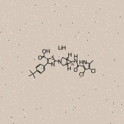 Cc1[nH]c(C(=O)N[C@H]2[C@@H]3CN(c4nc(-c5ccc(C(C)(C)C)cc5)c(C(=O)O)s4)C[C@@H]32)c(Cl)c1Cl.[LiH]